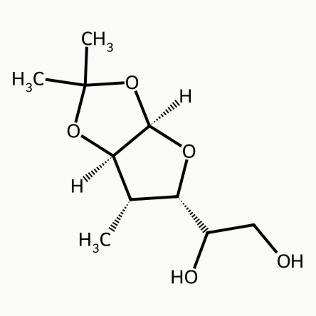 C[C@@H]1[C@H]2OC(C)(C)O[C@H]2O[C@@H]1C(O)CO